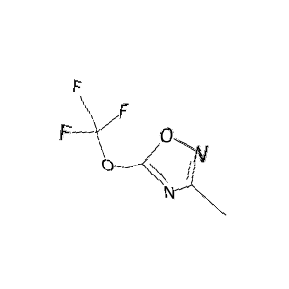 Cc1noc(OC(F)(F)F)n1